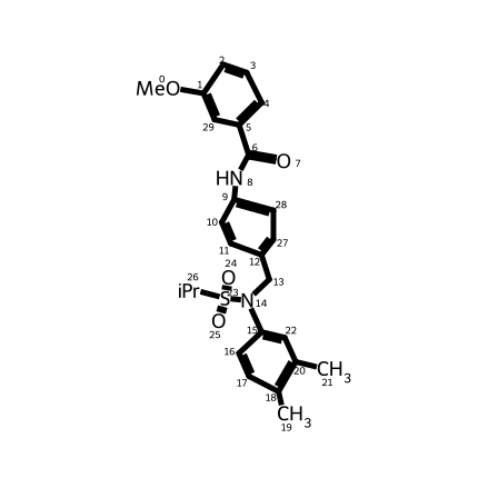 COc1cccc(C(=O)Nc2ccc(CN(c3ccc(C)c(C)c3)S(=O)(=O)C(C)C)cc2)c1